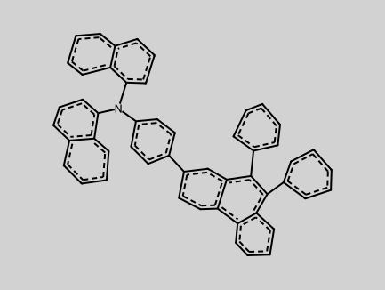 c1ccc(-c2c(-c3ccccc3)c3cc(-c4ccc(N(c5cccc6ccccc56)c5cccc6ccccc56)cc4)ccc3c3ccccc23)cc1